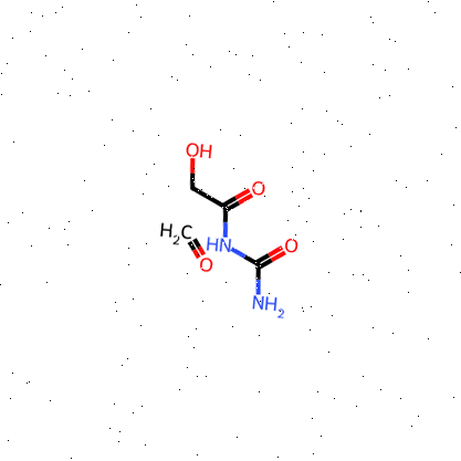 C=O.NC(=O)NC(=O)CO